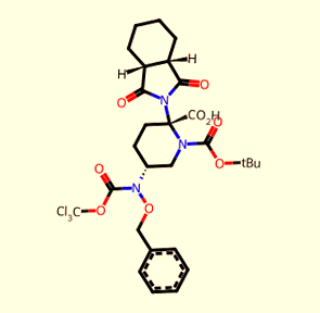 CC(C)(C)OC(=O)N1C[C@H](N(OCc2ccccc2)C(=O)OC(Cl)(Cl)Cl)CC[C@]1(C(=O)O)N1C(=O)[C@H]2CCCC[C@H]2C1=O